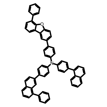 c1ccc(-c2cccc3ccc(-c4ccc(N(c5ccc(-c6ccc7oc8c(-c9ccccc9)cccc8c7c6)cc5)c5ccc(-c6cccc7ccccc67)cc5)cc4)cc23)cc1